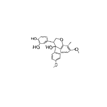 COc1ccc(C2(O)c3ccc(OC)c(C)c3OCC2c2ccc(O)c(O)c2)cc1